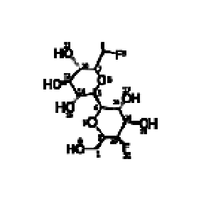 OC[C@H]1O[C@@H]([C]2O[C@H](CF)[C@@H](O)[C@H](O)[C@H]2O)[C@H](O)[C@@H](O)[C@H]1F